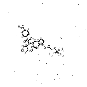 Cc1ccc(S(=O)(=O)N2c3cc4ccn(COCC[Si](C)(C)C)c4nc3OC3COCC32)cc1